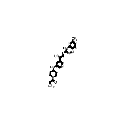 C=CC(=O)N1CCC(Nc2cncc(/C(C)=C/N=C(\N=C)Nc3cccc(C(F)(F)F)n3)c2)CC1